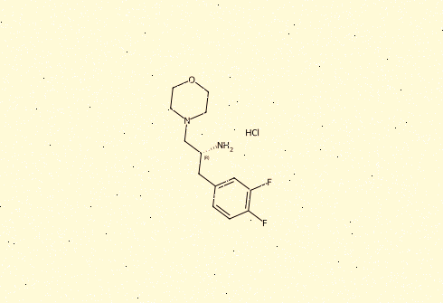 Cl.N[C@H](Cc1ccc(F)c(F)c1)CN1CCOCC1